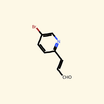 O=C/C=C/c1ccc(Br)cn1